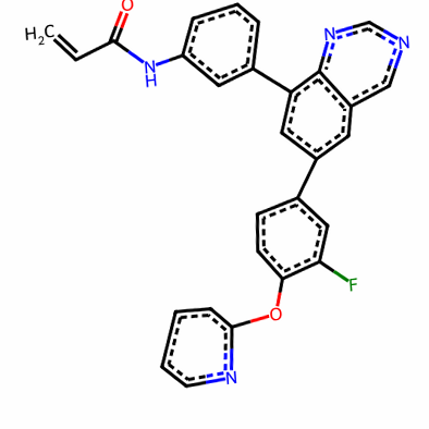 C=CC(=O)Nc1cccc(-c2cc(-c3ccc(Oc4ccccn4)c(F)c3)cc3cncnc23)c1